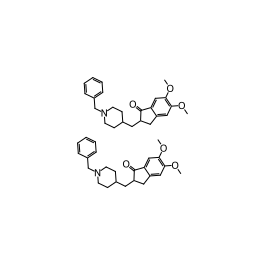 COc1cc2c(cc1OC)C(=O)C(CC1CCN(Cc3ccccc3)CC1)C2.COc1cc2c(cc1OC)C(=O)C(CC1CCN(Cc3ccccc3)CC1)C2